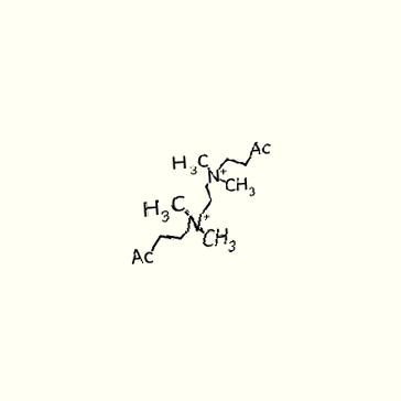 CC(=O)CC[N+](C)(C)CC[N+](C)(C)CCC(C)=O